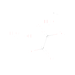 O.O.O.O=C([O-])C(=O)[O-].[Ca+2]